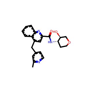 Cc1cc(Cc2cc(C(=O)N[C@H]3CCOC[C@@H]3O)nc3ccccc23)ccn1